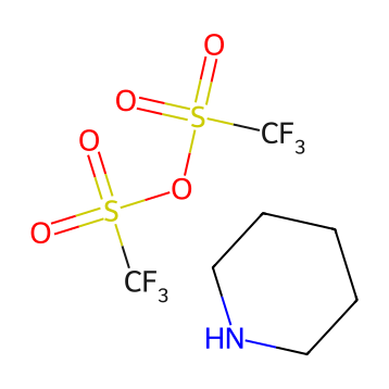 C1CCNCC1.O=S(=O)(OS(=O)(=O)C(F)(F)F)C(F)(F)F